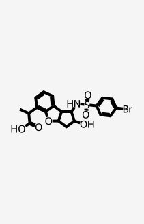 CC(C(=O)O)c1cccc2c1OC1CC(O)C(NS(=O)(=O)c3ccc(Br)cc3)C21